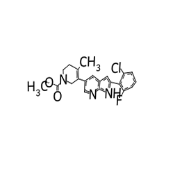 COC(=O)N1CCC(C)=C(c2cnc3[nH]c(-c4c(F)cccc4Cl)cc3c2)C1